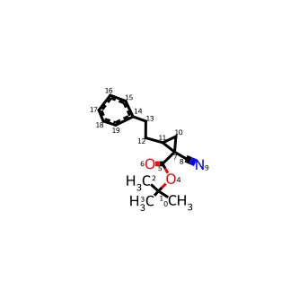 CC(C)(C)OC(=O)C1(C#N)CC1CCc1ccccc1